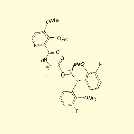 COc1ccnc(C(=O)N[C@@H](C)C(=O)O[C@@H](C)C(c2cccc(F)c2OC)c2cccc(F)c2OC)c1OC(C)=O